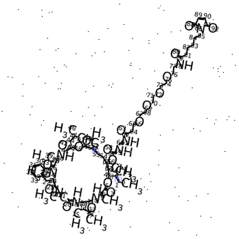 C/C=C(\C)[C@H]1OC(=O)[C@@H](C)NC(=O)[C@H](C(C)CC)NC(=O)CN(C)C(=O)[C@@H](Cc2ccccc2)N(C)C(=O)[C@H](C)NC(=O)[C@@H](CC(C)C)OC(=O)/C(C)=C/C[C@H](OC(=O)NCNC(=O)CCOCCOCCOCCOCCNC(=O)CCCCCN2C(=O)C=CC2=O)[C@@H]1C